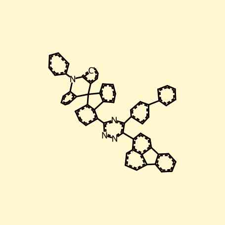 c1ccc(-c2ccc(-c3nc(-c4cccc5c4-c4ccccc4C54c5ccccc5N(c5ccccc5)c5ccccc54)nnc3-c3ccc4c5c(cccc35)-c3ccccc3-4)cc2)cc1